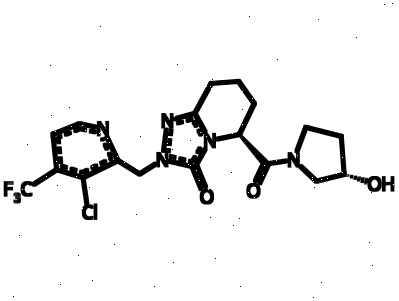 O=C([C@@H]1CCCc2nn(Cc3nccc(C(F)(F)F)c3Cl)c(=O)n21)N1CC[C@H](O)C1